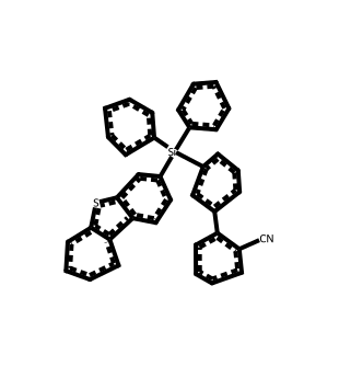 N#Cc1ccccc1-c1cccc([Si](c2ccccc2)(c2ccccc2)c2ccc3c(c2)sc2ccccc23)c1